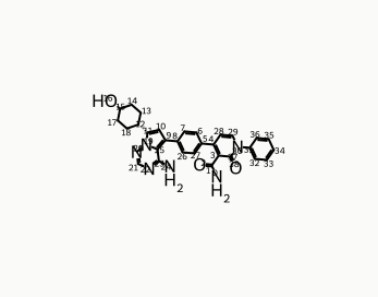 NC(=O)c1c(-c2ccc(-c3cc([C@H]4CC[C@H](O)CC4)n4ncnc(N)c34)cc2)ccn(-c2ccccc2)c1=O